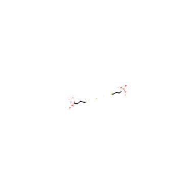 CCO[Si](CCCSSSSSSSCCC[Si](OCC)(OCC)OCC)(OCC)OCC